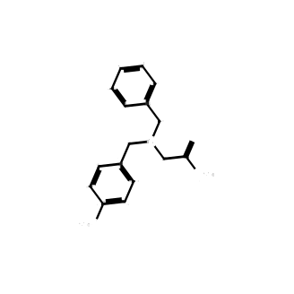 COC(=O)CN(Cc1ccccc1)Cc1ccc(OC)cc1